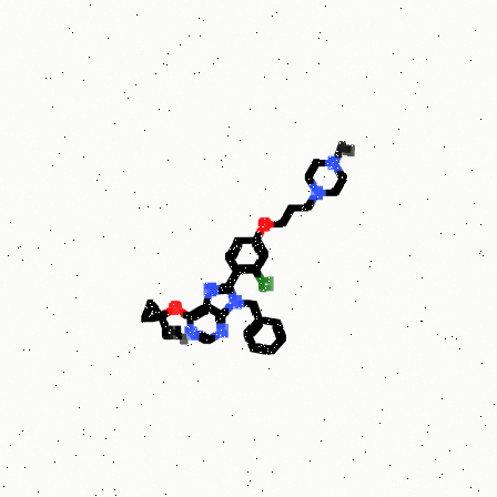 CC(=O)N1CCN(CCCOc2ccc(-c3nc4c(OC5(C)CC5)ncnc4n3Cc3ccccc3)c(Cl)c2)CC1